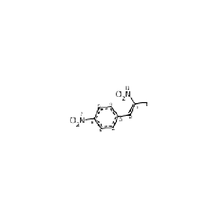 C/C(=C/c1ccc([N+](=O)[O-])cc1)[N+](=O)[O-]